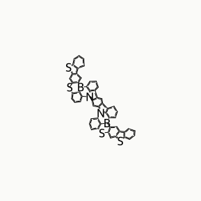 c1cc2c3c(c1)-n1c4cc5c(cc4c4cccc(c41)B3c1cc3c(cc1S2)sc1ccccc13)c1cccc2c1n5-c1cccc3c1B2c1cc2c(cc1S3)sc1ccccc12